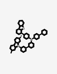 Cc1ccc2c3ccc(F)cc3n(-c3cccc(-c4cccc(N(c5ccc(-c6ccccc6)cc5)c5ccc(-c6cccc7c6sc6ccccc67)cc5)c4)c3)c2c1